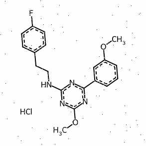 COc1cccc(-c2nc(NCCc3ccc(F)cc3)nc(OC)n2)c1.Cl